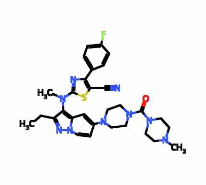 CCc1nn2ccc(N3CCN(C(=O)N4CCN(C)CC4)CC3)cc2c1N(C)c1nc(-c2ccc(F)cc2)c(C#N)s1